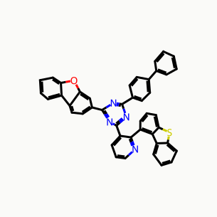 c1ccc(-c2ccc(-c3nc(-c4ccc5c(c4)oc4ccccc45)nc(-c4cccnc4-c4cccc5sc6ccccc6c45)n3)cc2)cc1